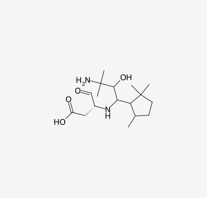 CC1CCC(C)(C)C1C(N[C@@H](C=O)CC(=O)O)C(O)C(C)(C)N